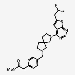 CNC(=O)Cc1ccc(CN2CCC3(CCN(c4ncnc5sc(CC(F)F)cc45)C3)C2)cc1